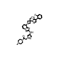 CN1CCN(C(=O)Cn2cc(Nc3nc4c(N5CC(CC#N)(n6cc(-c7ccccc7F)cn6)C5)cccn4n3)cn2)CC1